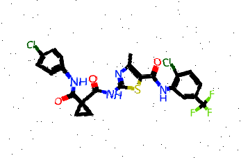 Cc1nc(NC(=O)C2(C(=O)Nc3ccc(Cl)cc3)CC2)sc1C(=O)Nc1cc(C(F)(F)F)ccc1Cl